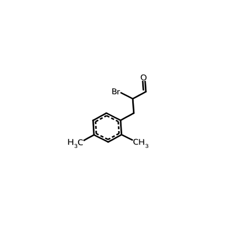 Cc1ccc(CC(Br)C=O)c(C)c1